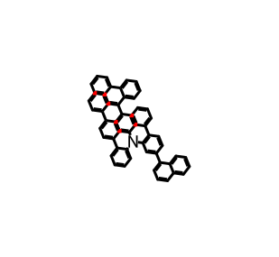 c1ccc(-c2ccc(-c3ccccc3N(c3ccc(-c4cc5ccccc5c5ccccc45)cc3)c3cc(-c4cccc5ccccc45)ccc3-c3ccccc3)cc2)cc1